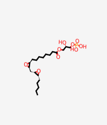 CCCCC[C@H]1O[C@H]1C[C@H]1O[C@H]1CCCCCCCC(=O)OC[C@H](O)COP(=O)(O)O